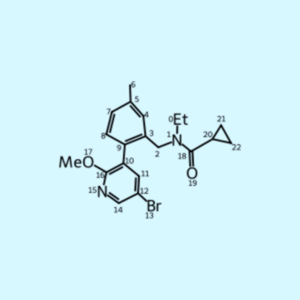 CCN(Cc1cc(C)ccc1-c1cc(Br)cnc1OC)C(=O)C1CC1